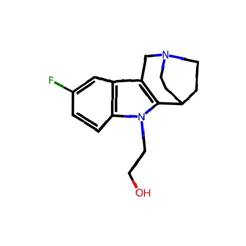 OCCn1c2c(c3cc(F)ccc31)CN1CCC2CC1